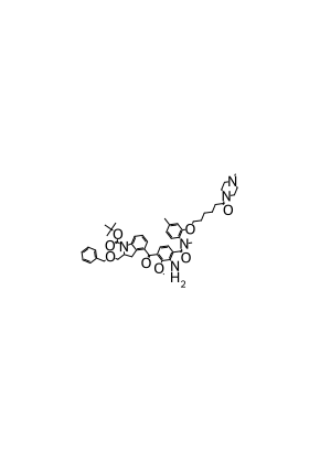 COc1c(C(=O)c2cccc3c2CC(COCc2ccccc2)N3C(=O)OC(C)(C)C)ccc(C(=O)N(C)c2ccc(C)cc2OCCCCCC(=O)N2CCN(C)CC2)c1N